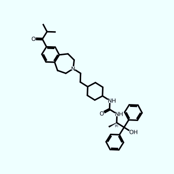 CC(C)C(=O)c1ccc2c(c1)CCN(CCC1CCC(NC(=O)N[C@H](C)C(O)(c3ccccc3)c3ccccc3)CC1)CC2